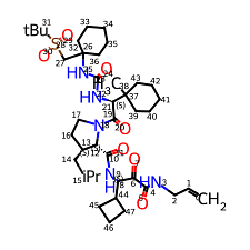 C=CCNC(=O)C(=O)[C@@H](NC(=O)[C@@H]1[C@@H](CC(C)C)CCN1C(=O)[C@@H](NC(=O)NC1(CS(=O)(=O)C(C)(C)C)CCCCC1)C1(C)CCCCC1)C1CCC1